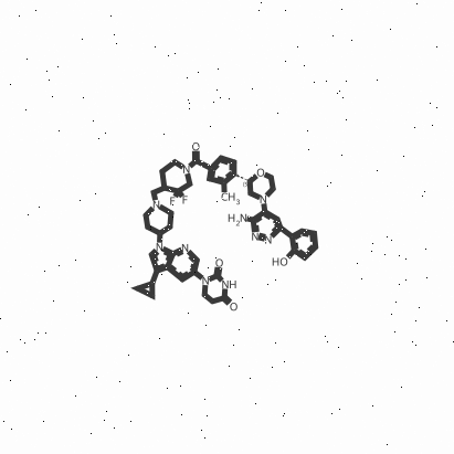 Cc1cc(C(=O)N2CCC(CN3CCC(n4cc(C5CC5)c5cc(N6CCC(=O)NC6=O)cnc54)CC3)C(F)(F)C2)ccc1[C@H]1CN(c2cc(-c3ccccc3O)nnc2N)CCO1